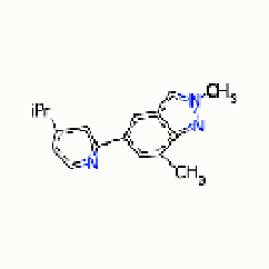 Cc1cc(-c2cc(C(C)C)ccn2)cc2cn(C)nc12